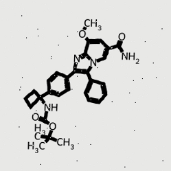 COc1cc(C(N)=O)cn2c(-c3ccccc3)c(-c3ccc(C4(NC(=O)OC(C)(C)C)CCC4)cc3)nc12